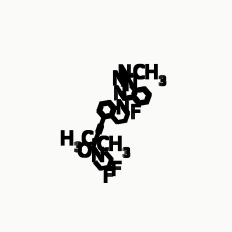 Cc1nnc2nc(N3CCCc4c(C#CC(C)(C)C(=O)N5CCC(F)(F)CC5)cccc43)c3c(F)cccc3n12